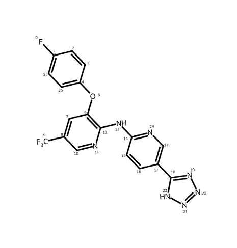 Fc1ccc(Oc2cc(C(F)(F)F)cnc2Nc2ccc(-c3nnn[nH]3)cn2)cc1